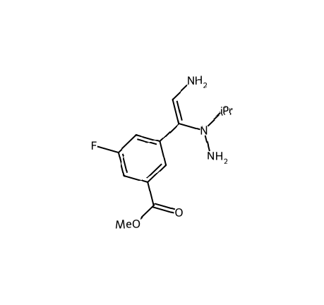 COC(=O)c1cc(F)cc(/C(=C/N)N(N)C(C)C)c1